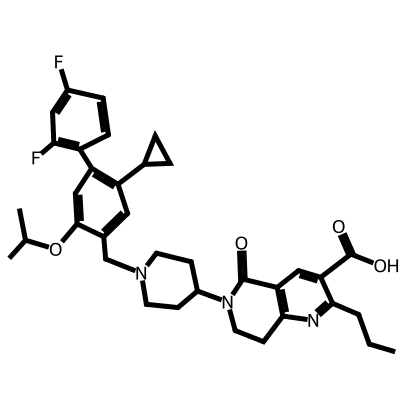 CCCc1nc2c(cc1C(=O)O)C(=O)N(C1CCN(Cc3cc(C4CC4)c(-c4ccc(F)cc4F)cc3OC(C)C)CC1)CC2